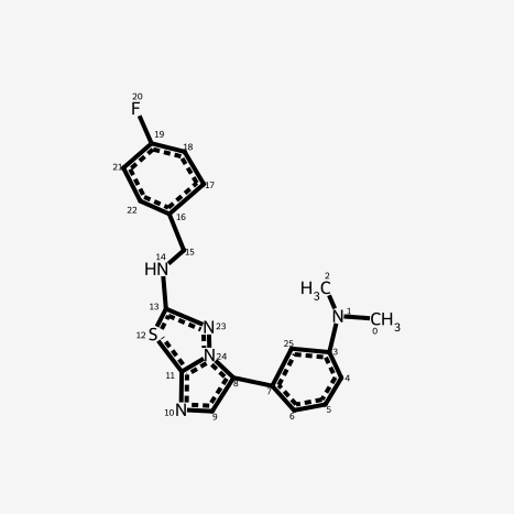 CN(C)c1cccc(-c2cnc3sc(NCc4ccc(F)cc4)nn23)c1